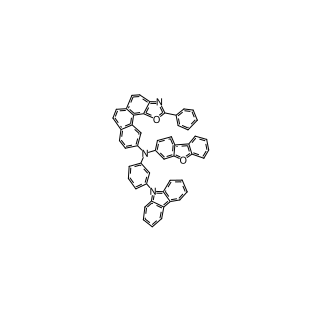 c1ccc(-c2nc3ccc4ccc5ccc(N(c6cccc(-n7c8ccccc8c8ccccc87)c6)c6ccc7c(c6)oc6ccccc67)cc5c4c3o2)cc1